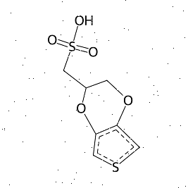 O=S(=O)(O)CC1COc2cscc2O1